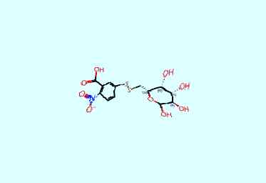 O=C(O)c1cc(SSC[C@H]2OC(O)[C@H](O)[C@@H](O)[C@H]2O)ccc1[N+](=O)[O-]